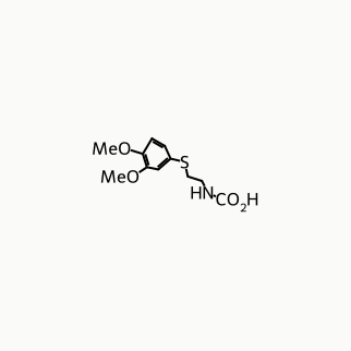 COc1ccc(SCCNC(=O)O)cc1OC